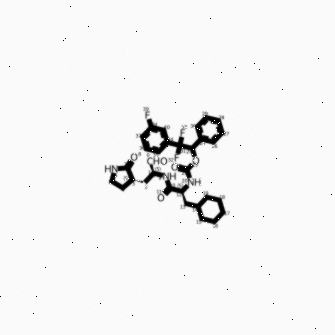 O=C[C@H](C[C@@H]1CCNC1=O)NC(=O)[C@H](CC1CCCCC1)NC(=O)OC(c1ccccc1)C(F)(F)c1cccc(F)c1